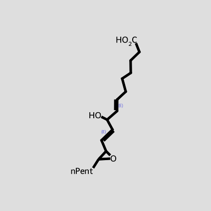 CCCCCC1OC1/C=C/C(O)/C=C/CCCCCC(=O)O